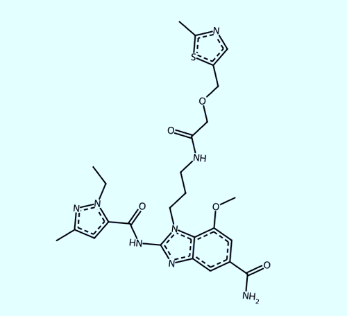 CCn1nc(C)cc1C(=O)Nc1nc2cc(C(N)=O)cc(OC)c2n1CCCNC(=O)COCc1cnc(C)s1